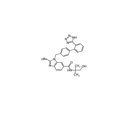 CCCCc1nc2ccc(C(=O)NC(C)(C)CO)cc2n1Cc1ccc(-c2ccccc2-c2nnn[nH]2)cc1